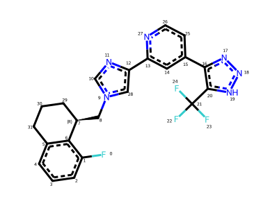 Fc1cccc2c1[C@H](Cn1cnc(-c3cc(-c4nn[nH]c4C(F)(F)F)ccn3)c1)CCC2